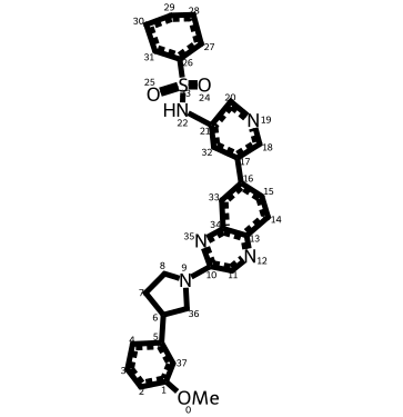 COc1cccc(C2CCN(c3cnc4ccc(-c5cncc(NS(=O)(=O)c6ccccc6)c5)cc4n3)C2)c1